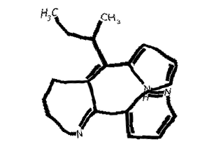 CCC(C)C(=C1CCCN=C1c1cccnc1)c1ccc[nH]1